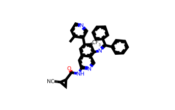 Cc1ccncc1-c1cc2cc(NC(=O)C3CC3C#N)ncc2c(N=C(c2ccccc2)c2ccccc2)c1C(F)(F)F